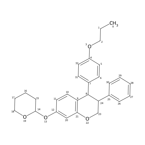 CCCOc1ccc(C2c3ccc(OC4CCCCO4)cc3OCC2c2ccccc2)cc1